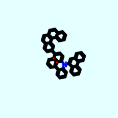 c1ccc(-c2ccccc2N(c2ccc(-c3ccc4ccc5ccc6ccccc6c5c4c3)cc2)c2cc3ccccc3c3ccccc23)cc1